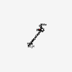 CNC(=O)COC1CCCCCC2=C1NNN2CCOCCOCCOCCOCCC(=O)NCCS(=O)(=O)O